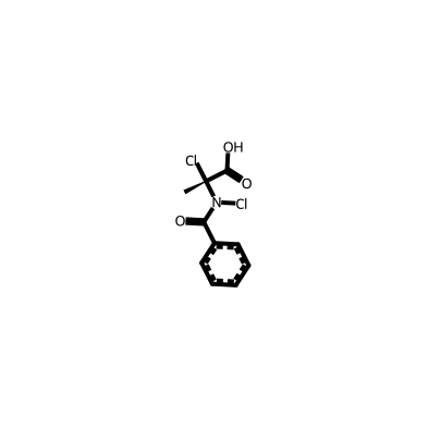 C[C@@](Cl)(C(=O)O)N(Cl)C(=O)c1ccccc1